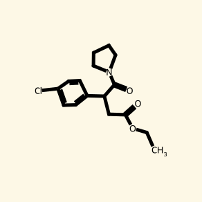 CCOC(=O)CC(C(=O)N1CCCC1)c1ccc(Cl)cc1